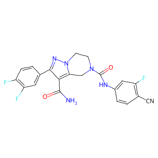 N#Cc1ccc(NC(=O)N2CCn3nc(-c4ccc(F)c(F)c4)c(C(N)=O)c3C2)cc1F